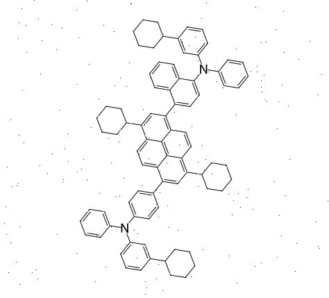 c1ccc(N(c2ccc(-c3cc(C4CCCCC4)c4ccc5c(-c6ccc(N(c7ccccc7)c7cccc(C8CCCCC8)c7)c7ccccc67)cc(C6CCCCC6)c6ccc3c4c56)cc2)c2cccc(C3CCCCC3)c2)cc1